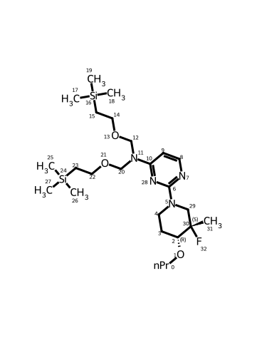 CCCO[C@@H]1CCN(c2nccc(N(COCC[Si](C)(C)C)COCC[Si](C)(C)C)n2)C[C@]1(C)F